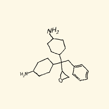 NC1CCC(C(Cc2ccccc2)(C2CCC(N)CC2)C2CO2)CC1